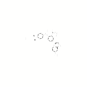 Cc1ccn2c(-c3ccc(Nc4ccc(S(C)(=O)=O)cc4)c4c3CNC4=O)cnc2c1